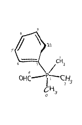 CP(C)(C)(C=O)c1ccccc1